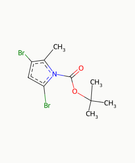 Cc1c(Br)cc(Br)n1C(=O)OC(C)(C)C